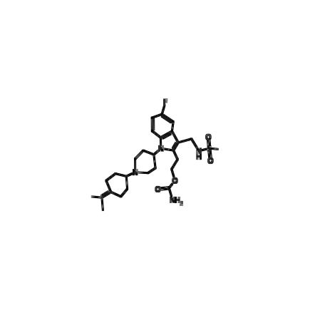 CC(C)=C1CCC(N2CCC(n3c(CCOC(N)=O)c(CNS(C)(=O)=O)c4cc(F)ccc43)CC2)CC1